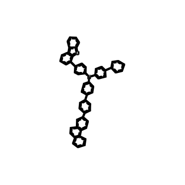 c1ccc(-c2ccc(N(c3ccc(-c4ccc(-c5ccc6c(ccc7ccccc76)c5)cc4)cc3)c3ccc(-c4cccc5c4oc4ccccc45)cc3)cc2)cc1